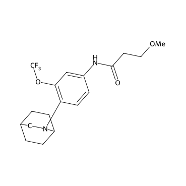 COCCC(=O)Nc1ccc(N2CC3CCC2CC3)c(OC(F)(F)F)c1